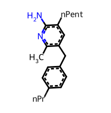 CCCCCc1cc(Cc2ccc(CCC)cc2)c(C)nc1N